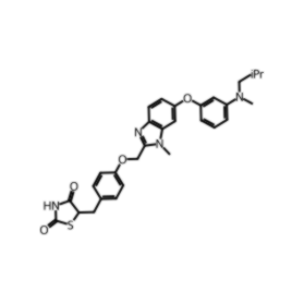 CC(C)CN(C)c1cccc(Oc2ccc3nc(COc4ccc(CC5SC(=O)NC5=O)cc4)n(C)c3c2)c1